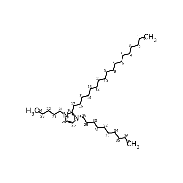 CCCCCCCCCCCCCCCCCCc1n(CCCCC)cc[n+]1CCCCCCCCCC